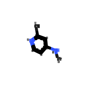 CC(C)Nc1ccnc(C#N)c1